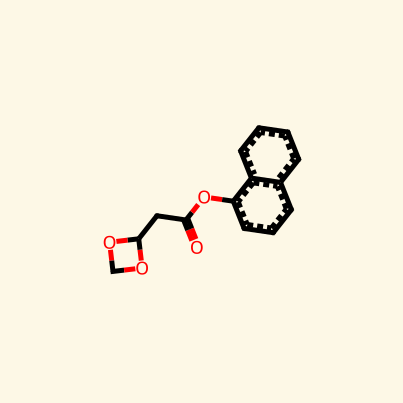 O=C(CC1OCO1)Oc1cccc2ccccc12